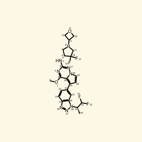 COc1nc(N[C@@H]2CN(C3COC3)CC2(F)F)nn2ccc(-c3ccc4nnn([C@H](C)C(F)F)c4c3)c12